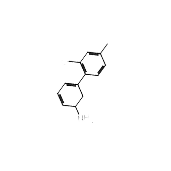 Cc1ccc(C2=CC=CC(N)C2)c(Cl)c1